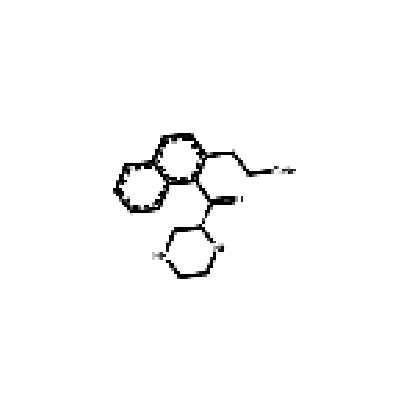 COCCc1ccc2ccccc2c1C(=O)[C@@H]1CNCCN1